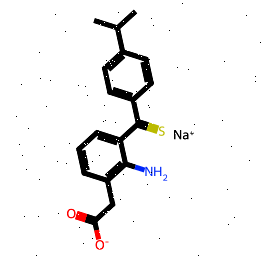 CC(C)c1ccc(C(=S)c2cccc(CC(=O)[O-])c2N)cc1.[Na+]